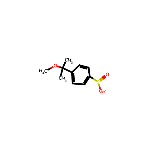 COC(C)(C)c1ccc(S(=O)O)cc1